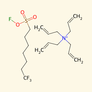 C=CC[N+](CC=C)(CC=C)CC=C.O=S(=O)(CCCCCCC(F)(F)F)OF